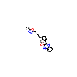 CCOc1nc2ccccc2nc1-c1cccc(/C=C/CCc2nnc(CC)o2)c1